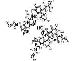 CCOC(=O)C[C@H](NC(=O)C(CC(C)C)n1cc(CCN2CC(OC)C2)c(C(F)(F)F)cc1=O)c1cc(-c2c(C)ccc(OC)c2C)cc(C)c1F.COc1ccc(C)c(-c2cc(C)c(F)c([C@H](CC(=O)O)NC(=O)C(CC(C)C)n3cc(CCN4CC(OC)C4)c(C(F)(F)F)cc3=O)c2)c1C